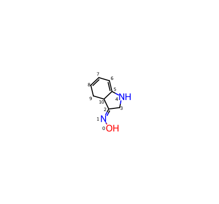 ON=C1CNC2=CC=CCC21